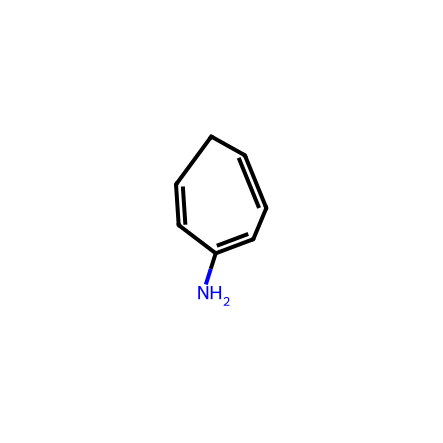 NC1=CC=CCC=C1